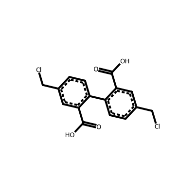 O=C(O)c1cc(CCl)ccc1-c1ccc(CCl)cc1C(=O)O